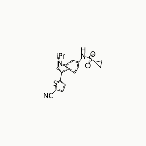 CC(C)n1cc(-c2ccc(C#N)s2)c2ccc(NS(=O)(=O)C3CC3)cc21